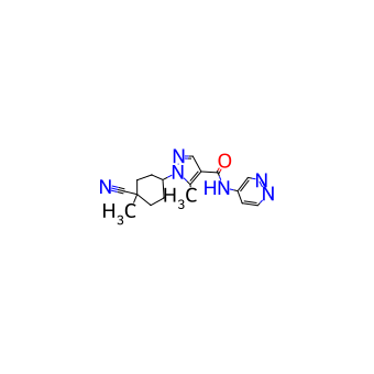 Cc1c(C(=O)Nc2ccnnc2)cnn1C1CCC(C)(C#N)CC1